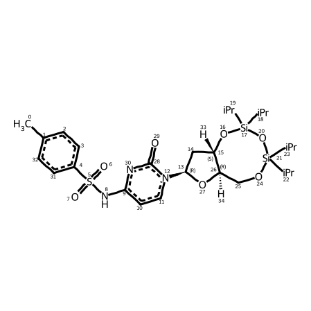 Cc1ccc(S(=O)(=O)Nc2ccn([C@H]3C[C@@H]4O[Si](C(C)C)(C(C)C)O[Si](C(C)C)(C(C)C)OC[C@H]4O3)c(=O)n2)cc1